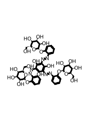 OC[C@H]1O[C@@H](Oc2ccccc2N=Nc2c(O)c(N=Nc3ccccc3O[C@@H]3O[C@H](CO)[C@@H](O)[C@H](O)[C@H]3O)c(O)c(N=Nc3ccccc3O[C@@H]3O[C@H](CO)[C@@H](O)[C@H](O)[C@H]3O)c2O)[C@H](O)[C@@H](O)[C@@H]1O